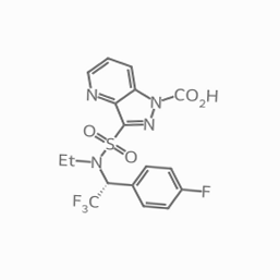 CCN([C@H](c1ccc(F)cc1)C(F)(F)F)S(=O)(=O)c1nn(C(=O)O)c2cccnc12